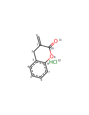 C=C1Cc2ccccc2OC1=O.Cl